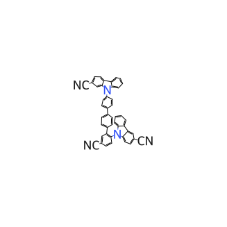 N#Cc1ccc(-n2c3ccccc3c3cc(C#N)ccc32)c(-c2ccc(-c3ccc(-n4c5ccccc5c5ccc(C#N)cc54)cc3)cc2)c1